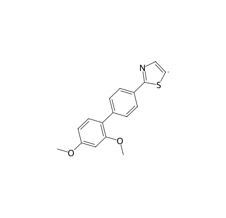 COc1ccc(-c2ccc(-c3nc[c]s3)cc2)c(OC)c1